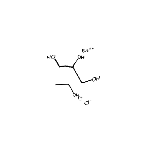 CCO.OCC(O)CO.[Ba+2].[Cl-].[Cl-]